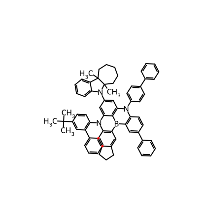 CC(C)(C)c1ccc(N2c3cc4c(cc3B3c5cc(-c6ccccc6)ccc5N(c5ccc(-c6ccccc6)cc5)c5cc(N6c7ccccc7C7(C)CCCCCC67C)cc2c53)CCC4)c(-c2ccccc2)c1